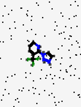 FC(F)(F)c1cccnc1-n1ccnn1